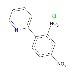 O=[N+]([O-])c1ccc(C2=CC=CC=[N+]2)c([N+](=O)[O-])c1.[Cl-]